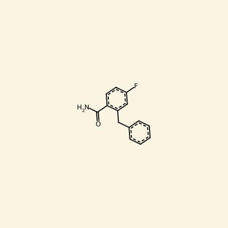 NC(=O)c1ccc(F)cc1Cc1ccccc1